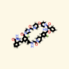 O=C(N[C@@H](C(=O)N1CCC(OC2CCN(CC(=O)N3CCN(C(=O)c4cc(Cc5n[nH]c(=O)c6ccccc56)ccc4F)CC3)CC2)CC1)C1CCCCC1)c1ccc(C2CCN(C(=O)CNC3CC3)CC2)cc1F